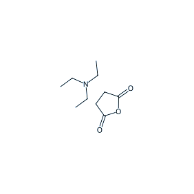 CCN(CC)CC.O=C1CCC(=O)O1